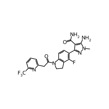 Cn1nc(-c2ccc3c(c2F)CCN3C(=O)Cc2cccc(C(F)(F)F)n2)c(C(N)=O)c1N